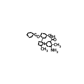 Cc1c(N)cc(-n2c(C)ccc2-c2cc(Cl)ccc2OCc2ccccc2)cc1C(=O)O